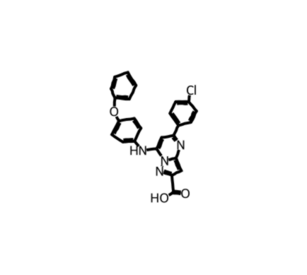 O=C(O)c1cc2nc(-c3ccc(Cl)cc3)cc(Nc3ccc(Oc4ccccc4)cc3)n2n1